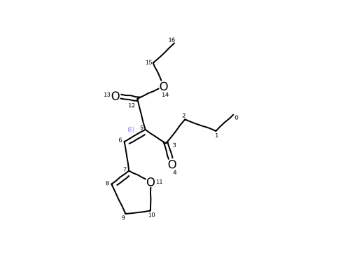 CCCC(=O)/C(=C\C1=CCCO1)C(=O)OCC